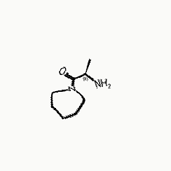 C[C@@H](N)C(=O)N1CCCCC1